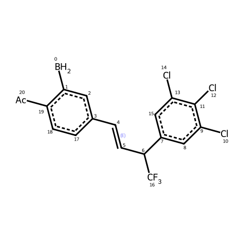 Bc1cc(/C=C/C(c2cc(Cl)c(Cl)c(Cl)c2)C(F)(F)F)ccc1C(C)=O